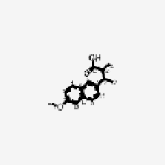 COc1ccc2cc(C(C)C(C)C(=O)O)ccc2c1